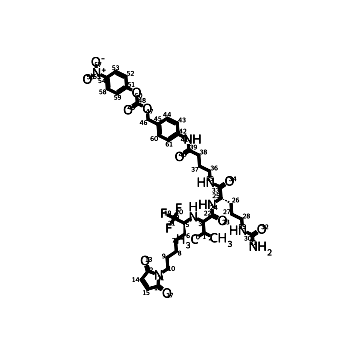 CC(C)C(N[C@@H](CCCCCN1C(=O)C=CC1=O)C(F)(F)F)C(=O)N[C@@H](CCCNC(N)=O)C(=O)NCCCC(=O)Nc1ccc(COC(=O)Oc2ccc([N+](=O)[O-])cc2)cc1